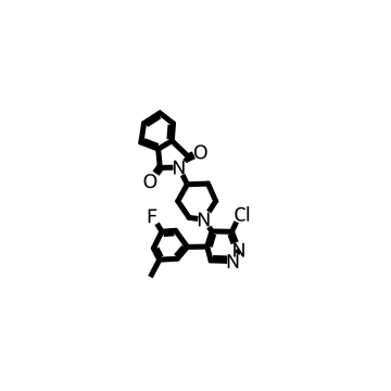 Cc1cc(F)cc(-c2cnnc(Cl)c2N2CCC(N3C(=O)c4ccccc4C3=O)CC2)c1